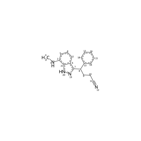 CNc1cccc2c(C(CCC#N)c3ccccc3)n[nH]c12